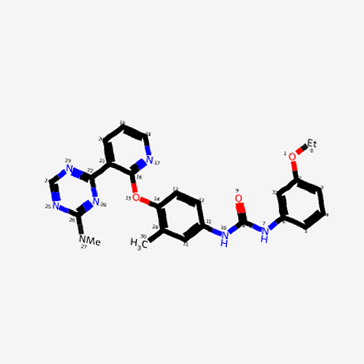 CCOc1cccc(NC(=O)Nc2ccc(Oc3ncccc3-c3ncnc(NC)n3)c(C)c2)c1